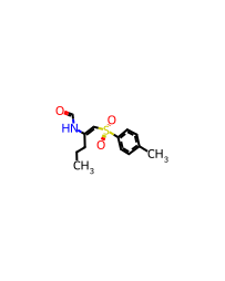 CCC/C(=C\S(=O)(=O)c1ccc(C)cc1)NC=O